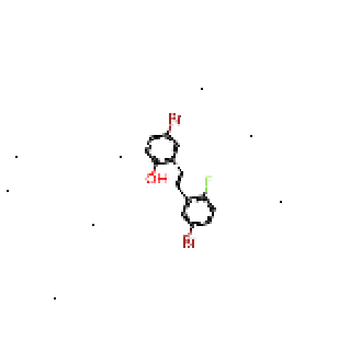 Oc1ccc(Br)cc1C=Cc1cc(Br)ccc1F